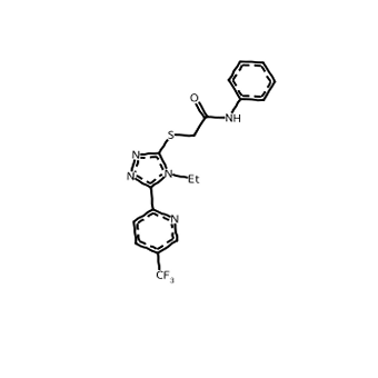 CCn1c(SCC(=O)Nc2ccccc2)nnc1-c1ccc(C(F)(F)F)cn1